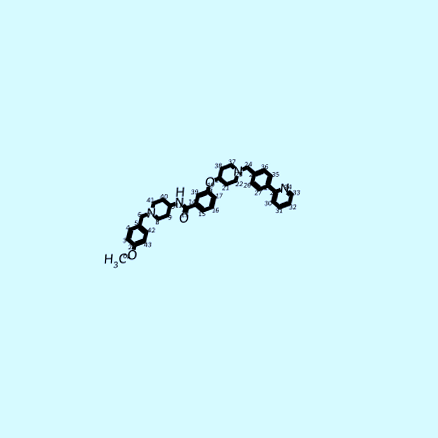 COc1ccc(CN2CCC(NC(=O)c3cccc(OC4CCN(Cc5ccc(-c6ccccn6)cc5)CC4)c3)CC2)cc1